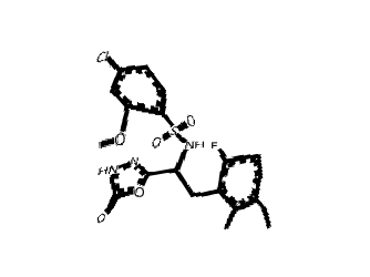 COc1cc(Cl)ccc1S(=O)(=O)NC(Cc1c(F)ccc(C)c1C)c1n[nH]c(=O)o1